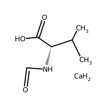 CC(C)[C@H](NC=O)C(=O)O.[CaH2]